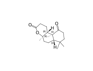 CC1(C)CCC(=O)[C@]2(C)[C@H]3CCC(=O)O[C@]3(C)CC[C@@H]12